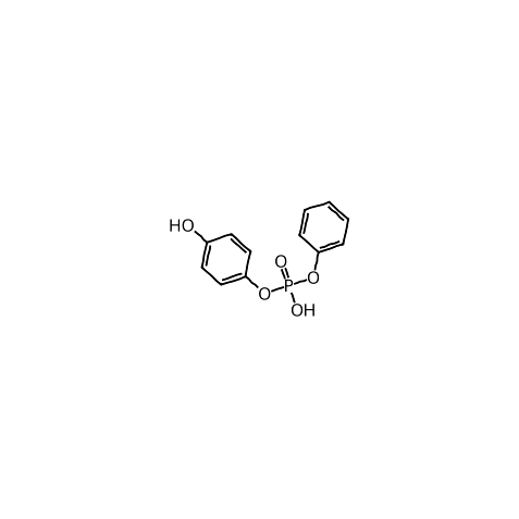 O=P(O)(Oc1ccccc1)Oc1ccc(O)cc1